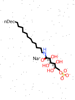 CCCCCCCCCCCCCCCCCCCCCCNC(=O)[C@H](O)[C@@H](O)[C@H](O)[C@H](O)COS(=O)(=O)[O-].[Na+]